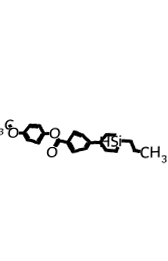 CCC[SiH]1CCC(c2ccc(C(=O)Oc3ccc(OC)cc3)cc2)CC1